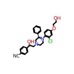 N#Cc1ccc([C@H](O)CN2CCN(c3ccc(OCCO)cc3Cl)[C@H](c3ccccc3)C2)cc1